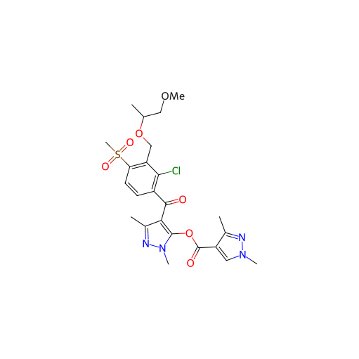 COCC(C)OCc1c(S(C)(=O)=O)ccc(C(=O)c2c(C)nn(C)c2OC(=O)c2cn(C)nc2C)c1Cl